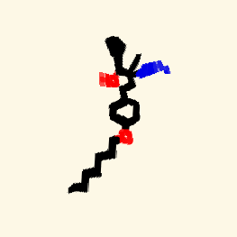 C#C[C@@H](O)C(C)(N)CCc1ccc(OCCCCCCC)cc1